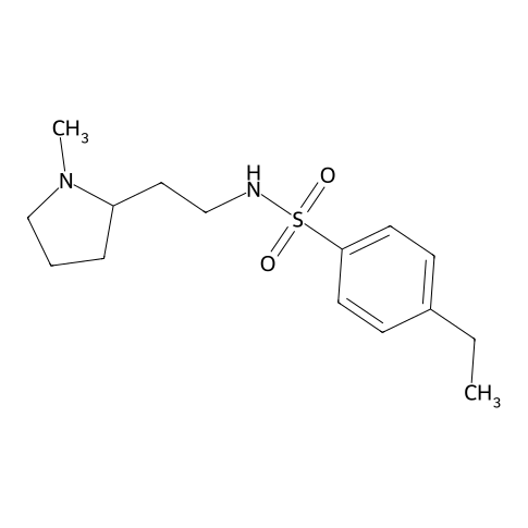 CCc1ccc(S(=O)(=O)NCCC2CCCN2C)cc1